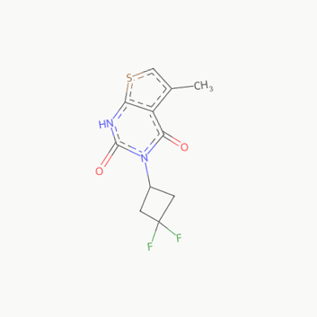 Cc1csc2[nH]c(=O)n(C3CC(F)(F)C3)c(=O)c12